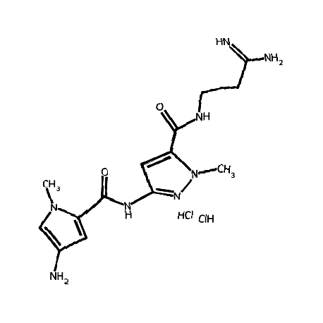 Cl.Cl.Cn1cc(N)cc1C(=O)Nc1cc(C(=O)NCCC(=N)N)n(C)n1